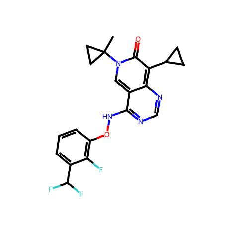 CC1(n2cc3c(NOc4cccc(C(F)F)c4F)ncnc3c(C3CC3)c2=O)CC1